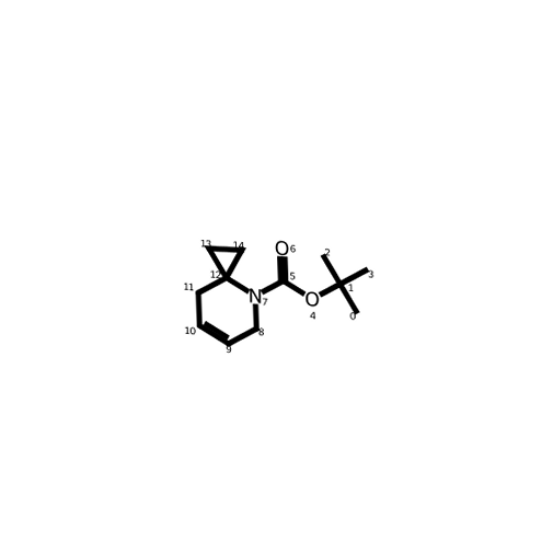 CC(C)(C)OC(=O)N1CC=CCC12CC2